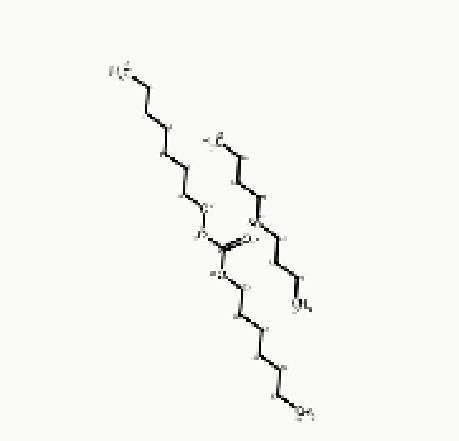 CCCCCCCOOC(=O)OCCCCCCC.CCC[CH2][Sn][CH2]CCC